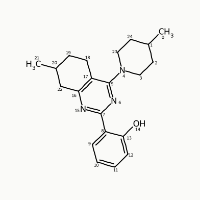 CC1CCN(c2nc(-c3ccccc3O)nc3c2CCC(C)C3)CC1